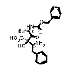 CC[C@H](C)[C@H](NC(=O)OCc1ccccc1)C(=O)[C@@](O)(C(=O)O)[C@@H](N)Cc1ccccc1